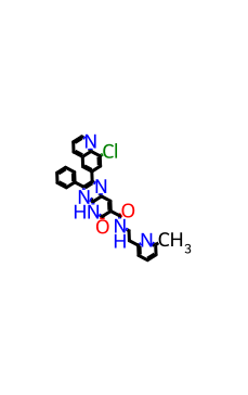 Cc1cccc(CCNC(=O)c2cc3nc(-c4cc(Cl)c5ncccc5c4)c(-c4ccccc4)nc3[nH]c2=O)n1